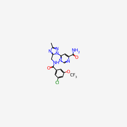 Cc1nc(CNC(=O)c2cc(Cl)cc(OC(F)(F)F)c2)n(-c2cc(C(N)=O)ncn2)n1